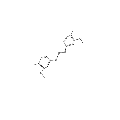 COc1cc(OBOc2ccc(C)c(OC)c2)ccc1C